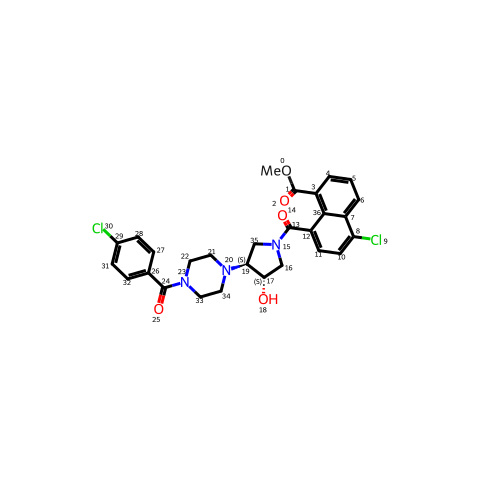 COC(=O)c1cccc2c(Cl)ccc(C(=O)N3C[C@H](O)[C@@H](N4CCN(C(=O)c5ccc(Cl)cc5)CC4)C3)c12